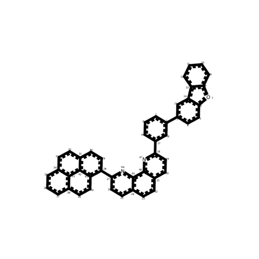 c1cc(-c2ccc3oc4ccccc4c3c2)cc(-c2ccc3ccc4ccc(-c5ccc6ccc7cccc8ccc5c6c78)nc4c3n2)c1